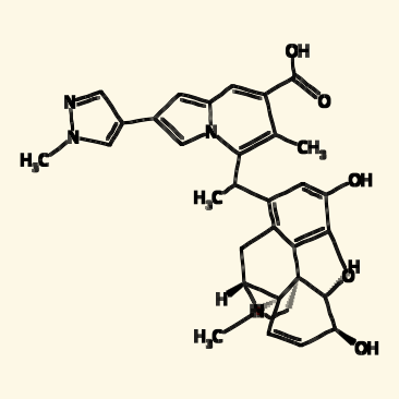 Cc1c(C(=O)O)cc2cc(-c3cnn(C)c3)cn2c1C(C)c1cc(O)c2c3c1C[C@@H]1[C@@H]4C=C[C@H](O)[C@H](O2)[C@]34CCN1C